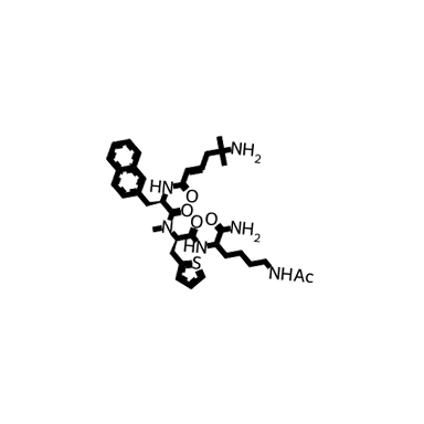 CC(=O)NCCCCC(NC(=O)[C@@H](Cc1cccs1)N(C)C(=O)[C@@H](Cc1ccc2ccccc2c1)NC(=O)/C=C/CC(C)(C)N)C(N)=O